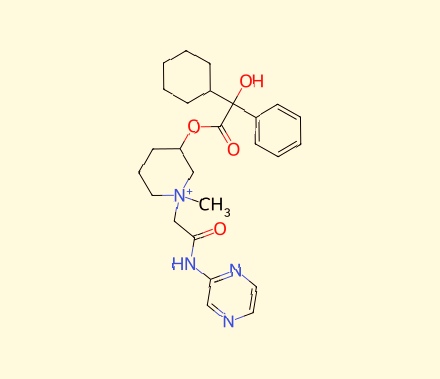 C[N+]1(CC(=O)Nc2cnccn2)CCCC(OC(=O)C(O)(c2ccccc2)C2CCCCC2)C1